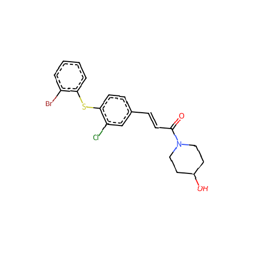 O=C(C=Cc1ccc(Sc2ccccc2Br)c(Cl)c1)N1CCC(O)CC1